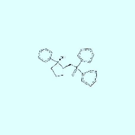 O=P(C[C@H]1CCC[P@]1(O)c1ccccc1)(c1ccccc1)c1ccccc1